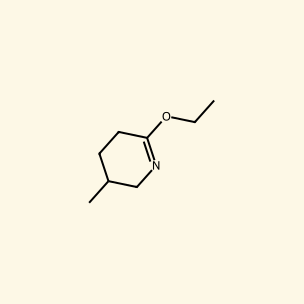 CCOC1=NCC(C)CC1